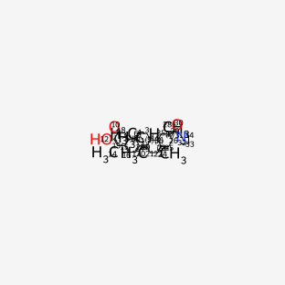 CC[C@@]12CC[C@@]3(C)C4=CC(=O)C(O)=C(C)C4=CC=C3[C@@]1(C)CC[C@@]1(C)CC[C@@](C)(C(=O)N3CCC3)C[C@H]12